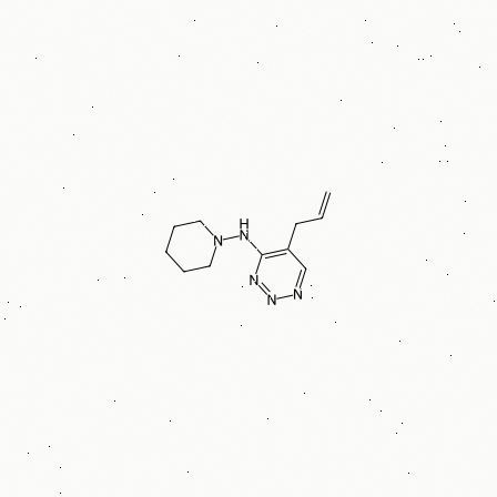 C=CCc1cnnnc1NN1CCCCC1